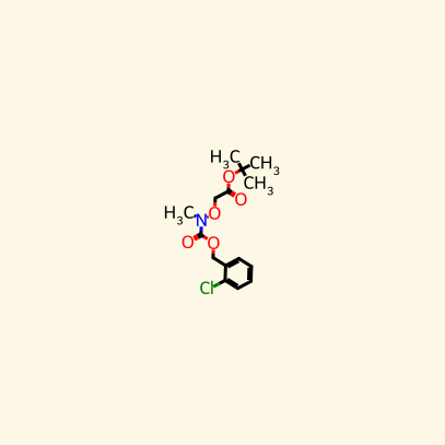 CN(OCC(=O)OC(C)(C)C)C(=O)OCc1ccccc1Cl